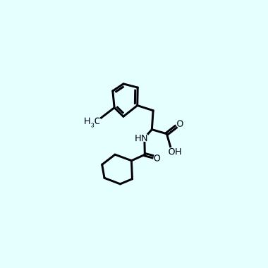 Cc1cccc(CC(NC(=O)C2CCCCC2)C(=O)O)c1